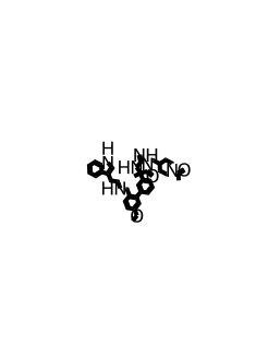 COc1ccc(CNCCc2c[nH]c3ccccc23)c(-c2cccc(C3(C)NC(=N)N(CC4CCN(C(C)=O)CC4)C3=O)c2)c1